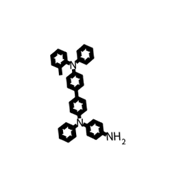 Cc1ccccc1N(c1ccccc1)c1ccc(-c2ccc(N(c3ccccc3)c3ccc(N)cc3)cc2)cc1